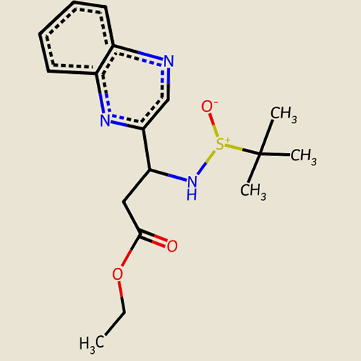 CCOC(=O)CC(N[S+]([O-])C(C)(C)C)c1cnc2ccccc2n1